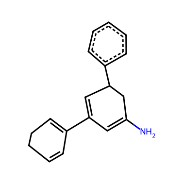 NC1=CC(C2=CCCC=C2)=CC(c2ccccc2)C1